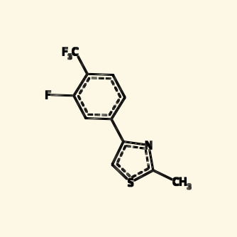 Cc1nc(-c2ccc(C(F)(F)F)c(F)c2)cs1